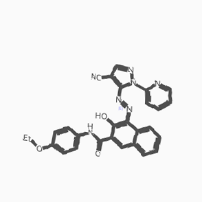 CCOc1ccc(NC(=O)c2cc3ccccc3c(/N=N/c3c(C#N)cnn3-c3ccccn3)c2O)cc1